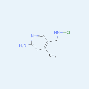 Cc1cc(N)ncc1CNCl